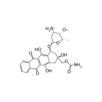 CO[C@@H]1[C@H](C)O[C@@H](O[C@H]2C[C@](O)(COC(N)=O)Cc3c(O)c4c(c(O)c32)C(=O)c2ccccc2C4=O)C[C@@H]1N